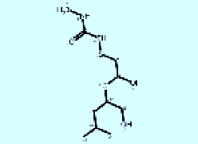 BNC(=O)BSCC(O)OC(CO)CC(C)C